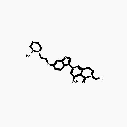 COc1cc(-c2cnc3cc(OCCN4CCOC[C@@H]4C)ccn23)cc2c1C(=O)N(CC(F)(F)F)CC2